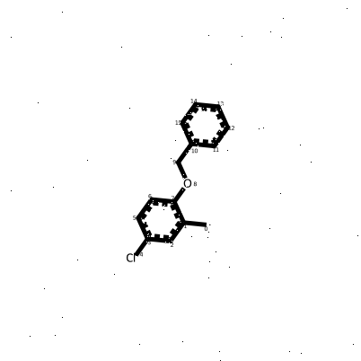 [CH2]c1cc(Cl)ccc1OCc1ccccc1